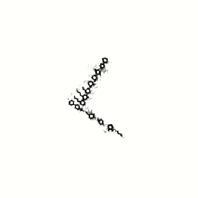 CCC(C)(C)c1ccc(-c2ccc(O)cc2)cc1.CCCCCc1ccc(O)cc1.CCCCc1ccc(O)cc1.CCCc1ccc(O)cc1.CC[CH]CCC.CCc1ccc(O)cc1.Cc1ccc(C)c(O)c1.Cc1ccc(O)c(C)c1.Cc1ccc(O)cc1.Cc1ccc(O)cc1C.Cc1cccc(C)c1O.Cc1cccc(O)c1.Oc1ccccc1